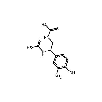 Nc1cc(C(CNC(=S)S)NC(=S)S)ccc1O